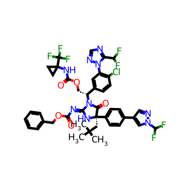 CC(C)(C)C[C@]1(c2ccc(-c3cnn(C(F)F)c3)cc2)NC(=NC(=O)OCc2ccccc2)N([C@H](COC(=O)NC2(C(F)(F)F)CC2)c2ccc(Cl)c(-n3ncnc3C(F)F)c2)C1=O